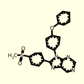 CS(=O)(=O)c1ccc(-c2nc3cncnc3n2-c2ccc(Oc3ccccc3)cc2)cc1